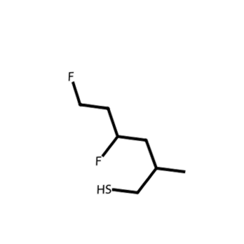 CC(CS)CC(F)CCF